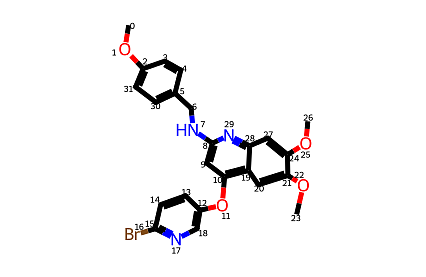 COc1ccc(CNc2cc(Oc3ccc(Br)nc3)c3cc(OC)c(OC)cc3n2)cc1